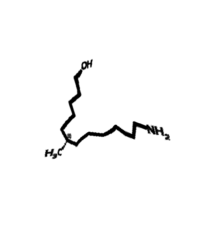 C[C@H](CCCCCO)CCCCCCN